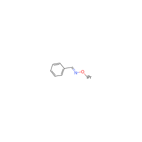 CC(C)O/N=C/c1ccccc1